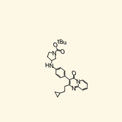 CC(C)(C)OC(=O)N1CCC(Nc2ccc(-c3c(CCC4CC4)nc4ccccn4c3=O)cc2)C1